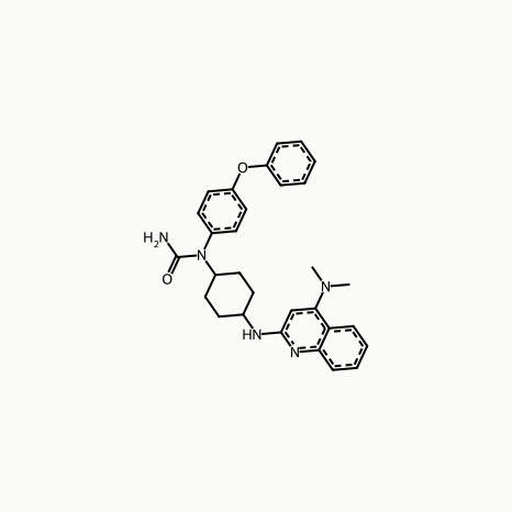 CN(C)c1cc(NC2CCC(N(C(N)=O)c3ccc(Oc4ccccc4)cc3)CC2)nc2ccccc12